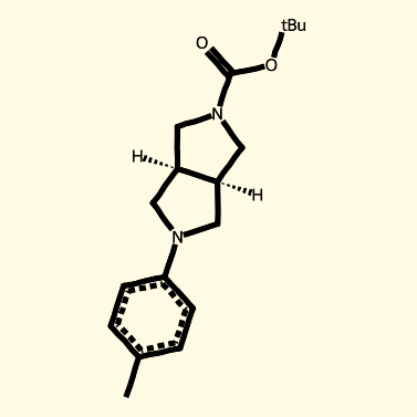 Cc1ccc(N2C[C@H]3CN(C(=O)OC(C)(C)C)C[C@H]3C2)cc1